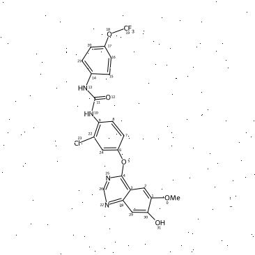 COc1cc2c(Oc3ccc(NC(=O)Nc4ccc(OC(F)(F)F)cc4)c(Cl)c3)ncnc2cc1O